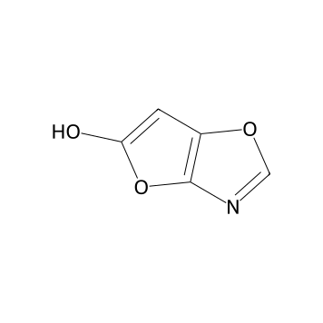 Oc1cc2ocnc2o1